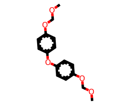 COCOc1ccc(Oc2ccc(OCOC)cc2)cc1